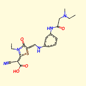 CCN(C)CC(=O)Nc1cccc(N/C=c2\s/c(=C(/C#N)C(=O)O)n(CC)c2=O)c1